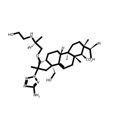 CC[C@@H]1CC[C@H]2C(=CC[C@@]3(C)[C@H](C(=O)O)[C@@](C)([C@H](C)C(C)C)CC[C@]23C)[C@@]1(CO)CC(C)(COC[C@](C)(NCCO)C(C)C)n1nnc(N)n1